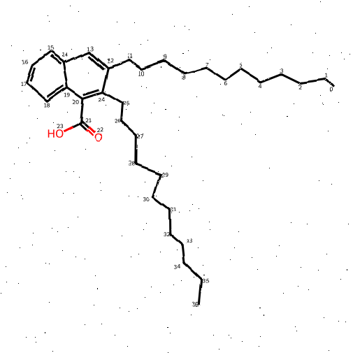 CCCCCCCCCCCCc1cc2ccccc2c(C(=O)O)c1CCCCCCCCCCCC